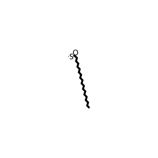 CCCCCCCCCCCCCCCCCCCC(=O)[S]